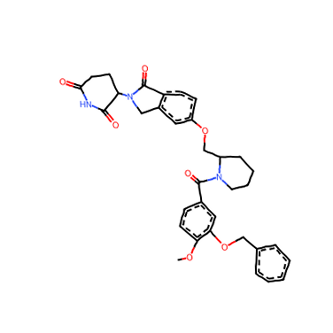 COc1ccc(C(=O)N2CCCCC2COc2ccc3c(c2)CN(C2CCC(=O)NC2=O)C3=O)cc1OCc1ccccc1